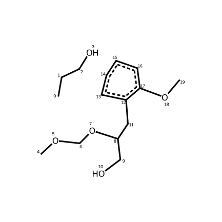 CCCO.COCOC(CO)Cc1ccccc1OC